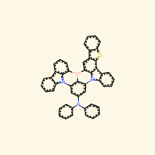 c1ccc(N(c2ccccc2)c2cc3c4c(c2)-n2c5ccccc5c5c6sc7ccccc7c6cc(c52)B4c2cccc4c5ccccc5n-3c24)cc1